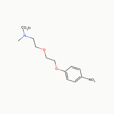 CN(CCOCCOc1ccc([N+](=O)[O-])cc1)C(=O)O